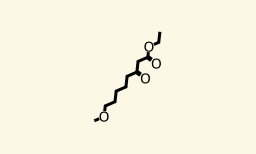 CCOC(=O)CC(=O)CCCCCOC